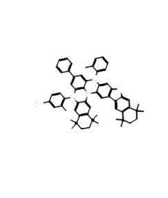 Cc1cc(C(C)(C)C)ccc1N1c2cc3c(cc2B2c4cc5c(cc4N(c4ccccc4C)c4cc(-c6ccccc6)cc1c42)sc1cc2c(cc15)C(C)(C)CCC2(C)C)C(C)(C)CCC3(C)C